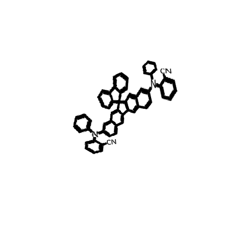 N#Cc1ccccc1N(c1ccccc1)c1ccc2cc3c(cc2c1)C1(c2ccccc2-c2ccccc21)c1cc2cc(N(c4ccccc4)c4ccccc4C#N)ccc2cc1-3